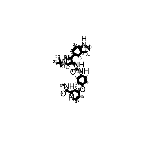 CNC(=O)c1cc(Oc2ccc(NC(=O)Nc3cn(C(C)(C)C)nc3-c3ccc4[nH]ncc4c3)cc2)ccn1